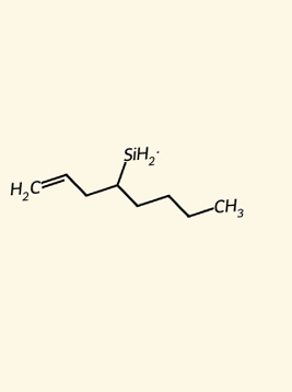 C=CCC([SiH2])CCCC